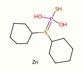 OP(O)(S)=S(C1CCCCC1)C1CCCCC1.[Zn]